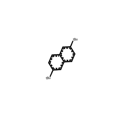 CC(C)(C)c1ccc2cc(C(C)(C)C)ccc2c1